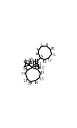 BC1(C2(BBC3CCCCCCCC3)CC2)CCCCCCCC1